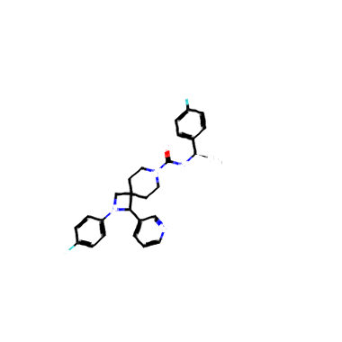 C[C@@H](NC(=O)N1CCC2(CC1)CN(c1ccc(F)cc1)C2c1cccnc1)c1ccc(F)cc1